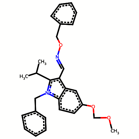 COCOc1ccc2c(c1)c(/C=N/OCc1ccccc1)c(C(C)C)n2Cc1ccccc1